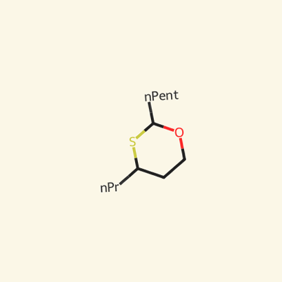 CCCCCC1OCCC(CCC)S1